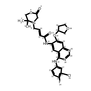 CC1(C)COC(=O)CN1CC=CC(=O)Nc1cc2c(Nc3ccc(F)c(Cl)c3)ncnc2cc1OC1CCOC1